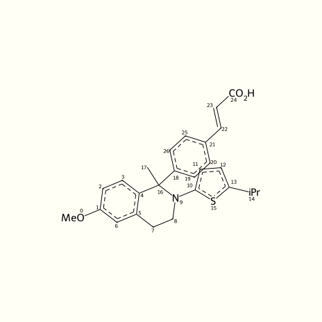 COc1ccc2c(c1)CCN(c1ccc(C(C)C)s1)C2(C)c1ccc(/C=C/C(=O)O)cc1